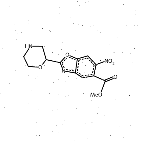 COC(=O)c1cc2nc(C3CNCCO3)oc2cc1[N+](=O)[O-]